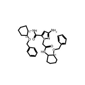 Nc1cc(C(=O)N[C@H]2CCCC[C@@H]2OCc2ccccc2)n(CC(=O)NC2CCCC[C@@H]2OCc2ccccc2)n1